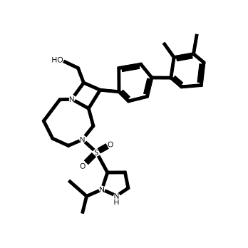 Cc1cccc(-c2ccc(C3C(CO)N4CCCCN(S(=O)(=O)C5CCNN5C(C)C)CC34)cc2)c1C